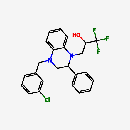 OC(CN1c2ccccc2N(Cc2cccc(Cl)c2)CC1c1ccccc1)C(F)(F)F